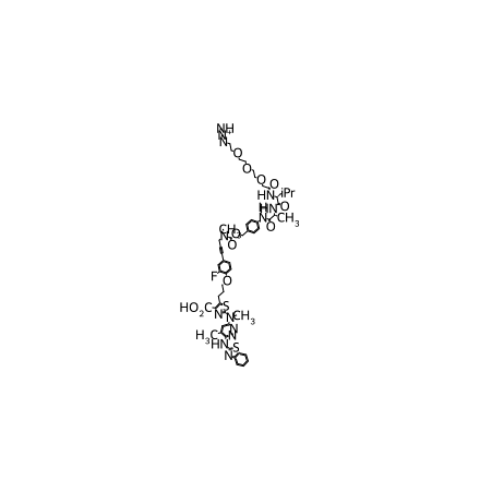 Cc1cc(N(C)c2nc(C(=O)O)c(CCCOc3ccc(C#CCN(C)C(=O)OCc4ccc(NC(=O)[C@H](C)NC(=O)[C@@H](NC(=O)COCCOCCOCCN=[N+]=N)C(C)C)cc4)cc3F)s2)nnc1Nc1nc2ccccc2s1